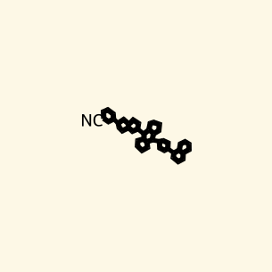 N#Cc1cccc(-c2ccc3cc(-c4c5ccccc5c(-c5ccc(-c6cccc7ccccc67)cc5)c5ccccc45)ccc3c2)c1